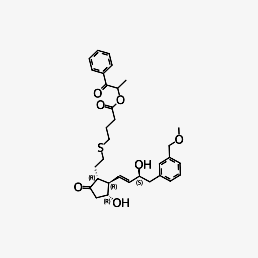 COCc1cccc(C[C@H](O)C=C[C@H]2[C@H](O)CC(=O)[C@@H]2CCSCCCC(=O)OC(C)C(=O)c2ccccc2)c1